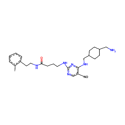 Cc1ccccc1CCNC(=O)CCCNc1ncc(N=O)c(NCC2CCC(CN)CC2)n1